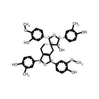 COc1ccc([C@@H]2O[C@H](c3ccc(O)c(C)c3)[C@@H](O)[C@]23CCC2=C(C3)[C@@H](c3ccc(O)c(OC)c3)O[C@H]2c2ccc(O)c(C)c2)cc1O